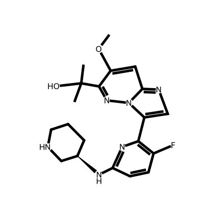 COc1cc2ncc(-c3nc(N[C@@H]4CCCNC4)ccc3F)n2nc1C(C)(C)O